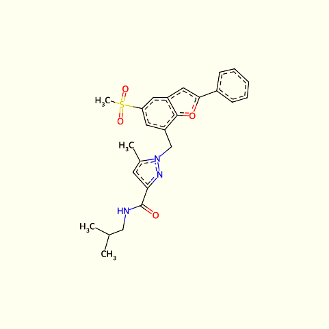 Cc1cc(C(=O)NCC(C)C)nn1Cc1cc(S(C)(=O)=O)cc2cc(-c3ccccc3)oc12